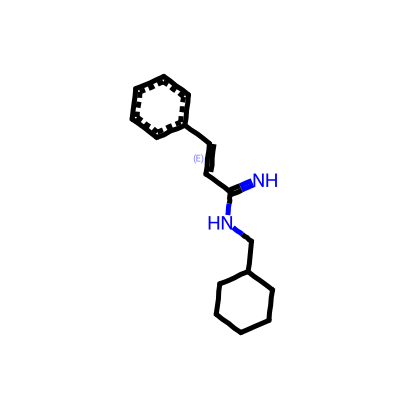 N=C(/C=C/c1ccccc1)NCC1CCCCC1